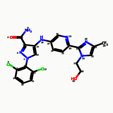 NC(=O)c1nn(-c2c(Cl)cccc2Cl)cc1Nc1ccc(-c2nc(C(F)(F)F)cn2CCO)nc1